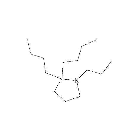 CCCCC1(CCCC)CCCN1CCC